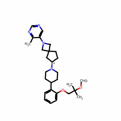 Cc1ncncc1N1CC2(CC[C@@H](N3CCC(c4ccccc4OCC(C)(C)OC=O)CC3)C2)C1